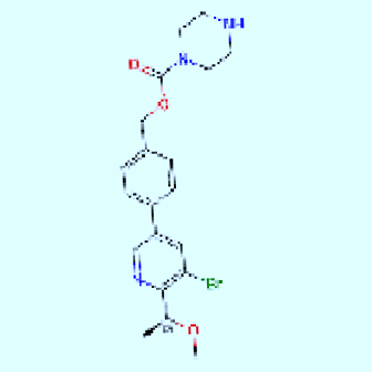 CO[C@@H](C)c1ncc(-c2ccc(COC(=O)N3CCNCC3)cc2)cc1Br